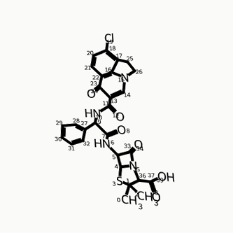 CC1(C)SC2C(NC(=O)C(NC(=O)c3cn4c5c(c(Cl)ccc5c3=O)CC4)c3ccccc3)C(=O)N2C1C(=O)O